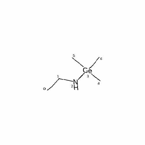 CC[NH][Ge]([CH3])([CH3])[CH3]